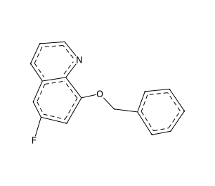 Fc1cc(OCc2ccccc2)c2ncccc2c1